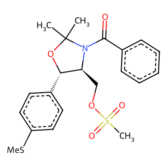 CSc1ccc([C@@H]2OC(C)(C)N(C(=O)c3ccccc3)[C@H]2COS(C)(=O)=O)cc1